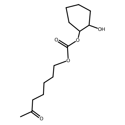 CC(=O)CCCCCOC(=O)OC1CCCCC1O